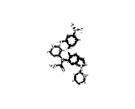 CC(=O)N(c1cc2c(cnn2C2CCCCO2)cc1Oc1ccc([N+](=O)[O-])cc1F)C1CCOCC1